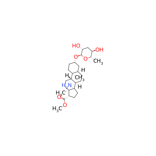 COC(=O)[C@H]1CC[C@]2(N)[C@@H]3CC[C@@H]4C[C@@H](O[C@@H]5O[C@@H](C)[C@H](O)C[C@H]5O)CC[C@]4(C)[C@H]3CC[C@]12C